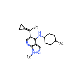 CCCC(=C1CC1)c1cnc2c(cnn2CC)c1NC1CCC(C(C)=O)CC1